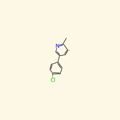 Cc1[c]cc(-c2ccc(Cl)cc2)cn1